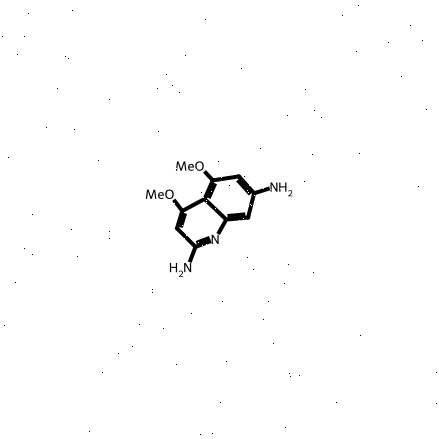 COc1cc(N)cc2nc(N)cc(OC)c12